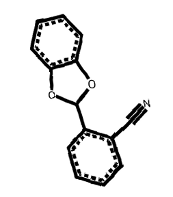 N#Cc1ccccc1C1Oc2ccccc2O1